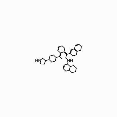 C/C(=C1/C=CCC/C1=C(/CNC1C=CCC2CCCCC21)C1=CC2=C(CCC=C2)CC1)C1CCC(C2CCNC2)CC1